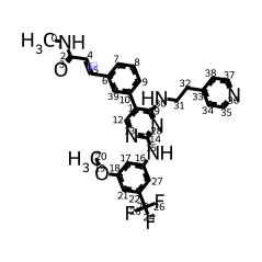 CNC(=O)/C=C/c1cccc(-c2cnc(Nc3cc(OC)cc(C(F)(F)F)c3)nc2NCCc2ccncc2)c1